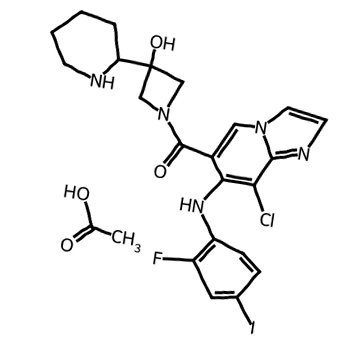 CC(=O)O.O=C(c1cn2ccnc2c(Cl)c1Nc1ccc(I)cc1F)N1CC(O)(C2CCCCN2)C1